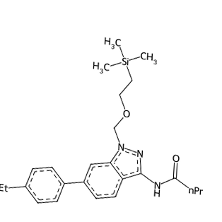 CCCC(=O)Nc1nn(COCC[Si](C)(C)C)c2cc(-c3ccc(CC)cc3)ccc12